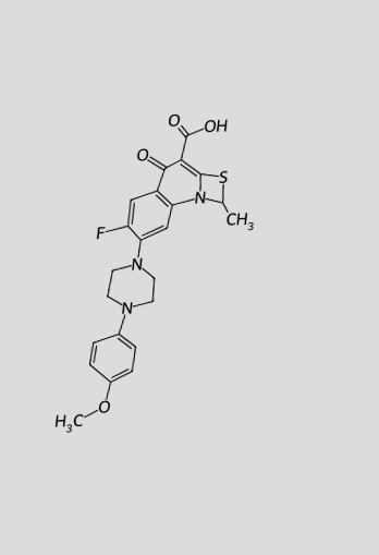 COc1ccc(N2CCN(c3cc4c(cc3F)c(=O)c(C(=O)O)c3n4C(C)S3)CC2)cc1